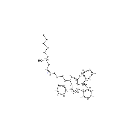 CCCCCC[C@@H](O)C/C=C\CCCCCC(C(=O)c1ccccc1)C(C(=O)O)(C(=O)c1ccccc1)C(=O)c1ccccc1